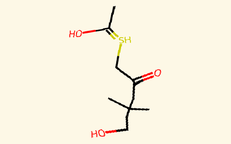 CC(O)=[SH]CC(=O)C(C)(C)CO